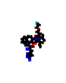 CC[C@H](C)[C@@H](C(=O)N[C@H]1CCc2cccc3c2N(C1=O)[C@H](C(=O)NCc1c[nH]nn1)C3)N(C(=O)CCOCCF)C(C)C